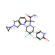 CC(C(N)=O)(c1ccc2c(n1)CN(C1CC1)C2)N1CCC(F)(F)[C@@H](c2ccc(=O)[nH]c2)C1